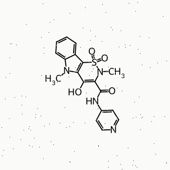 CN1C(C(=O)Nc2ccncc2)=C(O)c2c(c3ccccc3n2C)S1(=O)=O